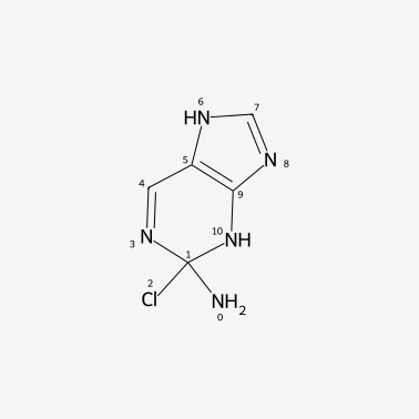 NC1(Cl)N=Cc2[nH]cnc2N1